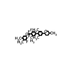 Cc1cc(OC(F)(F)c2c(C)cc(-c3c(C)cc(C4CCC(C)CO4)cc3C)cc2F)cc(F)c1C